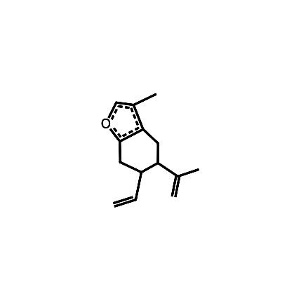 C=CC1Cc2occ(C)c2CC1C(=C)C